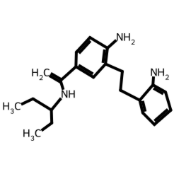 C=C(NC(CC)CC)c1ccc(N)c(CCc2ccccc2N)c1